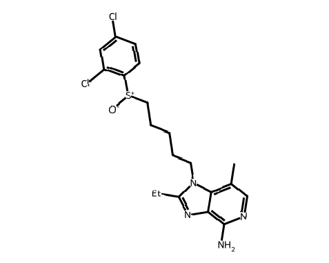 CCc1nc2c(N)ncc(C)c2n1CCCCC[S+]([O-])c1ccc(Cl)cc1Cl